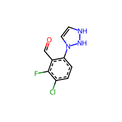 O=Cc1c(N2C=CNN2)ccc(Cl)c1F